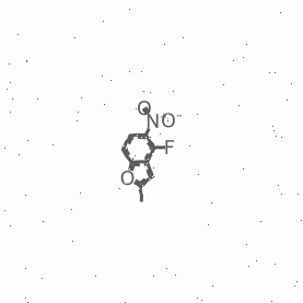 Cc1cc2c(F)c([N+](=O)[O-])ccc2o1